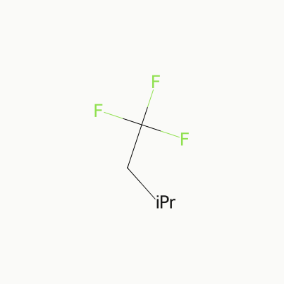 CC(C)CC(F)(F)F